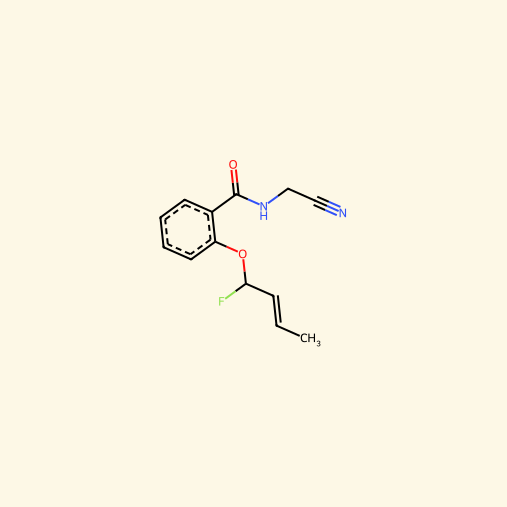 C/C=C/C(F)Oc1ccccc1C(=O)NCC#N